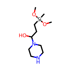 CO[Si](C)(CCC(O)N1CCNCC1)OC